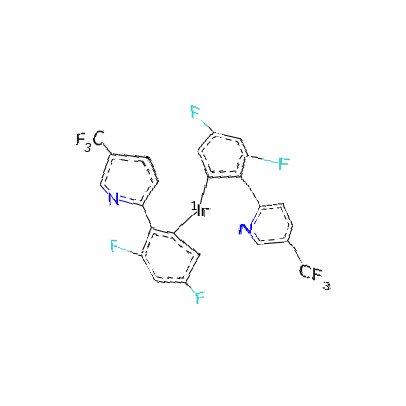 Fc1cc(F)c(-c2ccc(C(F)(F)F)cn2)[c]([1Ir][c]2cc(F)cc(F)c2-c2ccc(C(F)(F)F)cn2)c1